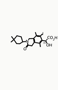 Cc1c(I)c([C@H](O)C(=O)O)c(C)c2c1CN(C1CCC(C)(C)CC1)C(=O)C2